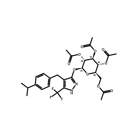 CC(=O)OC[C@H]1O[C@@H](Oc2n[nH]c(C(F)(F)F)c2Cc2ccc(C(C)C)cc2)[C@H](OC(C)=O)[C@@H](OC(C)=O)[C@@H]1OC(C)=O